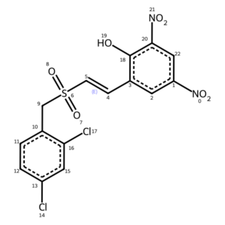 O=[N+]([O-])c1cc(/C=C/S(=O)(=O)Cc2ccc(Cl)cc2Cl)c(O)c([N+](=O)[O-])c1